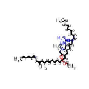 CCCCC/C=C\CC(C)CCCCCCCCC(CCCCCCCC/C=C\CCCCCCC)(OCC)OCCN(C)CCNC(=N)N